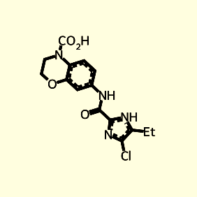 CCc1[nH]c(C(=O)Nc2ccc3c(c2)OCCN3C(=O)O)nc1Cl